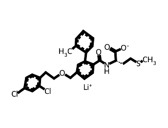 CSCC[C@H](NC(=O)c1ccc(COCCc2ccc(Cl)cc2Cl)cc1-c1ccccc1C)C(=O)[O-].[Li+]